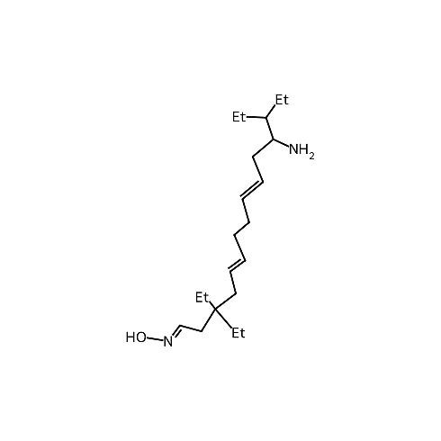 CCC(CC)C(N)CC=CCCC=CCC(CC)(CC)CC=NO